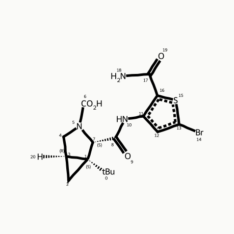 CC(C)(C)[C@]12C[C@H]1CN(C(=O)O)[C@@H]2C(=O)Nc1cc(Br)sc1C(N)=O